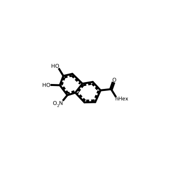 CCCCCCC(=O)c1ccc2c([N+](=O)[O-])c(O)c(O)cc2c1